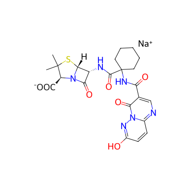 CC1(C)S[C@@H]2[C@H](NC(=O)C3(NC(=O)c4cnc5ccc(O)nn5c4=O)CCCCC3)C(=O)N2[C@H]1C(=O)[O-].[Na+]